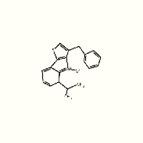 CC(C)C1C=NC=C2C1=[N+]([O-])c1c(Cc3ccccc3)csc12